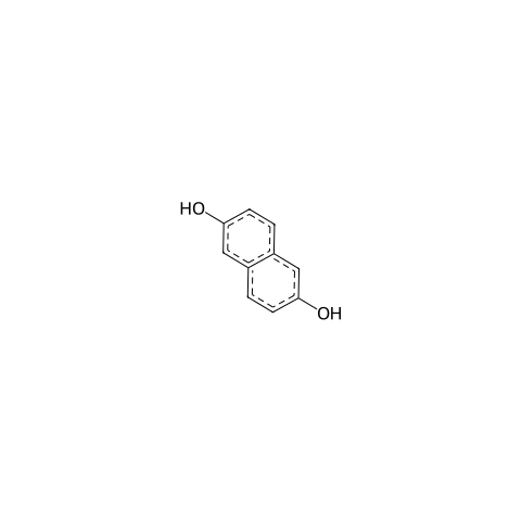 Oc1ccc2cc(O)ccc2c1